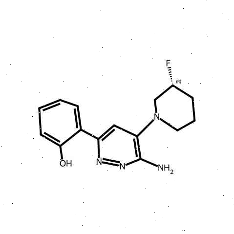 Nc1nnc(-c2ccccc2O)cc1N1CCC[C@@H](F)C1